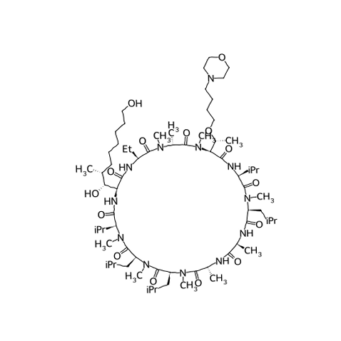 CC[C@@H]1NC(=O)[C@H]([C@H](O)[C@H](C)CCCCCCO)NC(=O)[C@H](C(C)C)N(C)C(=O)[C@H](CC(C)C)N(C)C(=O)[C@H](CC(C)C)N(C)C(=O)[C@@H](C)NC(=O)[C@H](C)NC(=O)[C@H](CC(C)C)N(C)C(=O)[C@H](C(C)C)NC(=O)[C@H]([C@@H](C)OCCCCN2CCOCC2)N(C)C(=O)[C@@H](C)N(C)C1=O